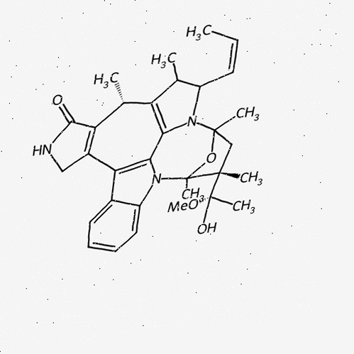 C/C=C\C1C(C)C2=C3c4c(c5ccccc5n4C4(C)OC(C)(C[C@]4(C)[C@@](C)(O)OC)N31)C1=C(C(=O)NC1)[C@@H]2C